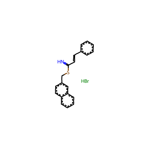 Br.N=C(/C=C/c1ccccc1)SCc1ccc2ccccc2c1